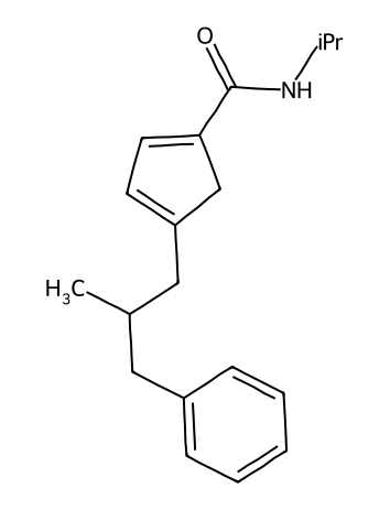 CC(CC1=CC=C(C(=O)NC(C)C)C1)Cc1ccccc1